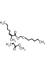 C=CC(=O)OC.CCCCC=C(C)C(=O)OCCCCCCCC